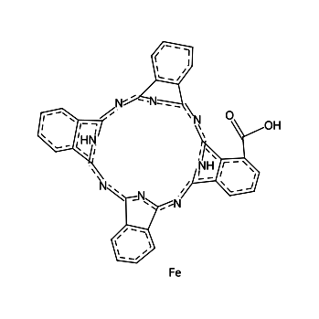 O=C(O)c1cccc2c3nc4nc(nc5[nH]c(nc6nc(nc([nH]3)c12)-c1ccccc1-6)c1ccccc51)-c1ccccc1-4.[Fe]